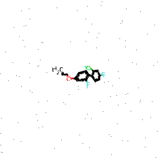 C=CCOc1cc(F)c(-c2[c]cc(F)cc2Cl)c(F)c1